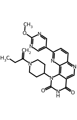 C=C(CC)N1CCC(n2c(=O)[nH]c(=O)c3cnc4ccc(-c5cnc(OC)nc5)nc4c32)CC1